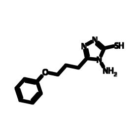 Nn1c(S)nnc1CCCOc1ccccc1